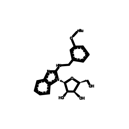 CCCCOc1cccc(CNc2nc3ccccc3n2[C@@H]2O[C@H](CO)[C@@H](O)[C@H]2O)c1